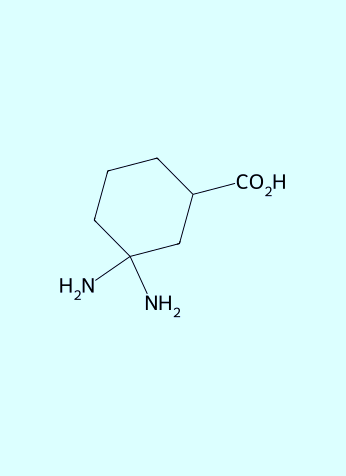 NC1(N)CCCC(C(=O)O)C1